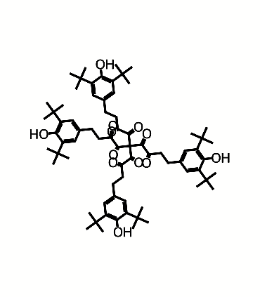 CC(C)(C)c1cc(CCC(=O)C(=O)C(C(=O)C(=O)CCc2cc(C(C)(C)C)c(O)c(C(C)(C)C)c2)(C(=O)C(=O)CCc2cc(C(C)(C)C)c(O)c(C(C)(C)C)c2)C(=O)C(=O)CCc2cc(C(C)(C)C)c(O)c(C(C)(C)C)c2)cc(C(C)(C)C)c1O